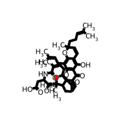 CC(C)=CCCC1(C)C=Cc2c(O)c3c(c(CC=C(C)C)c2O1)OC12C(=CC4CC1C(C)(C)OC2(C/C=C(/C)C(=O)NC(CC(=O)O)C(=O)O)C4=O)C3=O